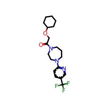 O=C(COC1CCCCC1)N1CCCN(c2ccc(C(F)(F)F)cn2)CC1